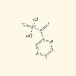 C=C(c1ccccc1)P(=O)(Cl)Cl